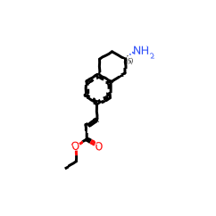 CCOC(=O)C=Cc1ccc2c(c1)C[C@@H](N)CC2